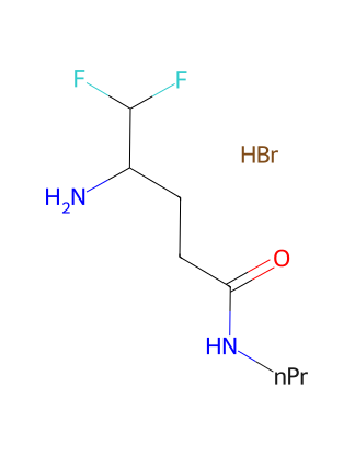 Br.CCCNC(=O)CCC(N)C(F)F